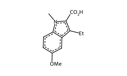 CCc1c(C(=O)O)n(C)c2ccc(OC)cc12